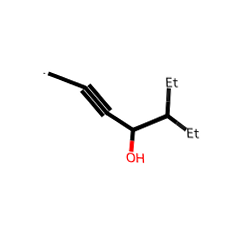 [CH2]C#CC(O)C(CC)CC